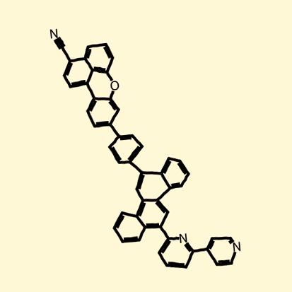 N#Cc1ccc2c3c(cccc13)Oc1cc(-c3ccc(-c4cc5c6ccccc6c(-c6cccc(-c7ccncc7)n6)cc5c5ccccc45)cc3)ccc1-2